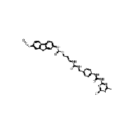 Cc1nc(Cl)nc(NC(=O)Nc2ccc(CNC(=O)NCCCOC(=O)Nc3ccc4c(c3)Cc3cc(N=C=O)ccc3-4)cc2)n1